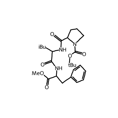 CCC(C)C(NC(=O)C1CCCN1C(=O)OC(C)(C)C)C(=O)NC(Cc1ccccc1)C(=O)OC